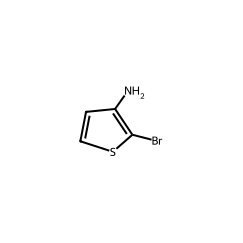 Nc1ccsc1Br